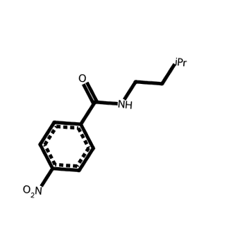 CC(C)CCNC(=O)c1ccc([N+](=O)[O-])cc1